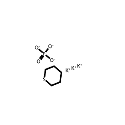 C1CCSCC1.O=P([O-])([O-])[O-].[K+].[K+].[K+]